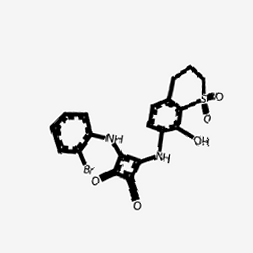 O=c1c(Nc2ccccc2Br)c(Nc2ccc3c(c2O)S(=O)(=O)CCC3)c1=O